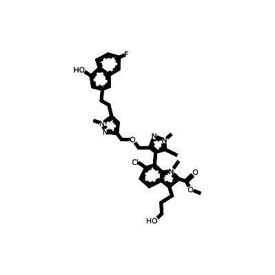 COC(=O)c1c(CCCO)c2ccc(Cl)c(-c3c(COCc4cc(CCc5cc(O)c6ccc(F)cc6c5)n(C)n4)nn(C)c3C)c2n1C